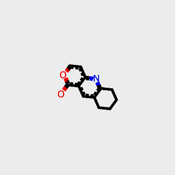 O=c1occc2nc3c(cc12)CCCC3